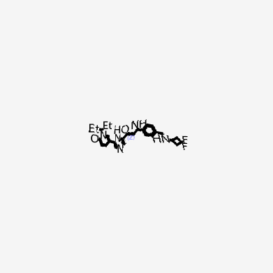 CCC(CC)n1cc(-c2cncc(/C(O)=C/C(=N)c3ccc(CNC4CC(F)(F)C4)cc3)n2)ccc1=O